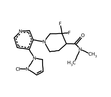 CN(C)C(=O)C1CCN(c2cnccc2N2CC=CN2Cl)CC1(F)F